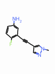 Cn1cc(C#Cc2cc(N)ccc2F)cn1